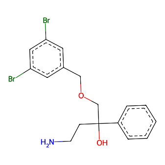 NCCC(O)(COCc1cc(Br)cc(Br)c1)c1ccccc1